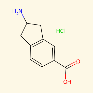 Cl.NC1Cc2ccc(C(=O)O)cc2C1